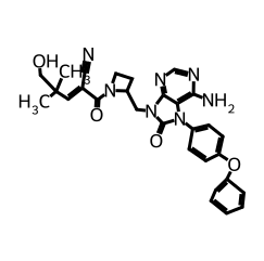 CC(C)(C=C(C#N)C(=O)N1CCC1Cn1c(=O)n(-c2ccc(Oc3ccccc3)cc2)c2c(N)ncnc21)CO